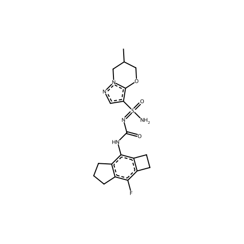 CC1COc2c(S(N)(=O)=NC(=O)Nc3c4c(c(F)c5c3CC5)CCC4)cnn2C1